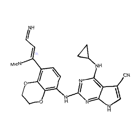 CN/C(=C\C=N)c1ccc(Nc2nc(NC3CC3)c3c(C#N)c[nH]c3n2)c2c1OCCO2